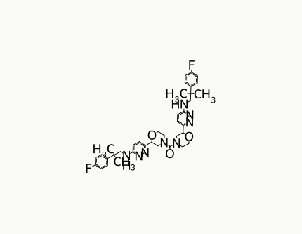 CC(C)(CNc1ccc(C2CN(C(=O)N3CCOC(c4ccc(NCC(C)(C)c5ccc(F)cc5)nn4)C3)CCO2)nn1)c1ccc(F)cc1